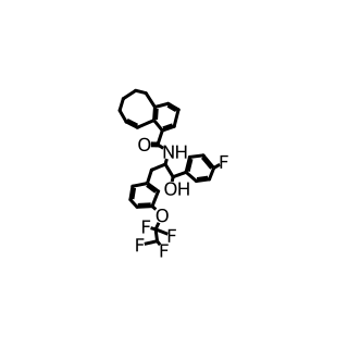 O=C(NC(Cc1cccc(OC(F)(F)C(F)F)c1)C(O)c1ccc(F)cc1)c1cccc2c1C=CCCCC2